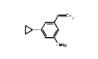 C=[C]c1cc(OCC(C)C)cc(C2CC2)c1